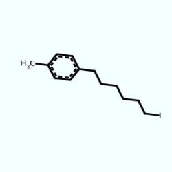 Cc1ccc(CCCCCCI)cc1